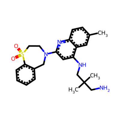 Cc1ccc2nc(N3CCS(=O)(=O)c4ccccc4C3)cc(NCC(C)(C)CN)c2c1